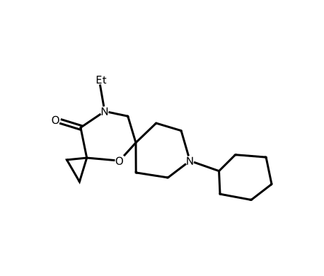 CCN1CC2(CCN(C3CCCCC3)CC2)OC2(CC2)C1=O